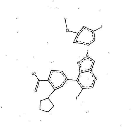 COc1cc(F)cc(-n2cc3ncc(F)c(-c4ccc(C(=O)O)c(C5CCCC5)c4)c3n2)c1